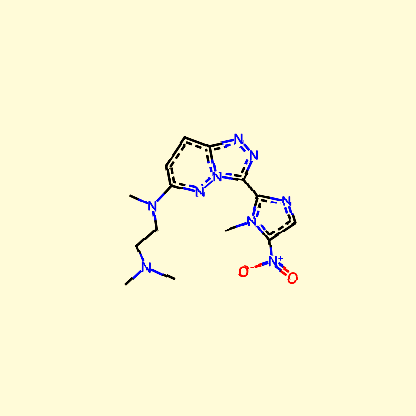 CN(C)CCN(C)c1ccc2nnc(-c3ncc([N+](=O)[O-])n3C)n2n1